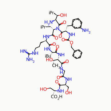 CCC(C)[C@H](NC(=O)[C@@H](CCCNC(=N)N)NC(=O)[C@H](CC(C)C)N(C(=O)[C@H](Cc1cccc(N)c1)NC(=O)OCc1ccccc1)C(=O)[C@@H](N)[C@H](O)C(C)C)C(=O)N[C@H](C(=O)NCC(=O)N[C@@H](CO)C(=O)N[C@@H](CO)C(=O)O)[C@H](C)O